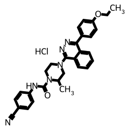 CCOc1ccc(-c2nnc(N3CCN(C(=O)Nc4ccc(C#N)cc4)C(C)C3)c3ccccc23)cc1.Cl